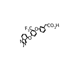 Cn1cc2c(Oc3ccc(Oc4cccc(CC(=O)O)c4)c(C(F)(F)F)c3)cccc2n1